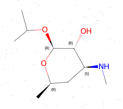 CN[C@H]1C[C@@H](C)O[C@@H](OC(C)C)[C@@H]1O